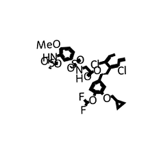 C=C/C(Cl)=C(C[C@H](OC(=O)CNS(=O)(=O)c1ccc(OC)c(NS(C)(=O)=O)c1)c1ccc(OC(F)F)c(OCC2CC2)c1)\C(Cl)=C/C